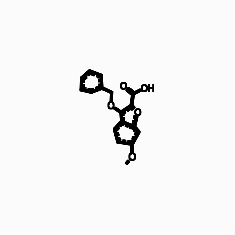 COc1ccc2c(OCc3ccccc3)c(C(=O)O)oc2c1